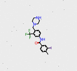 Cc1ccc(C(=O)Nc2ccc(CN3CCNCC3)c(C(F)(F)F)c2)cc1I